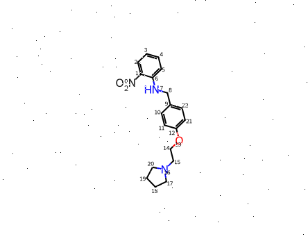 O=[N+]([O-])c1ccccc1NCc1ccc(OCCN2CCCC2)cc1